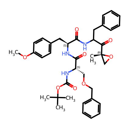 COc1ccc(C[C@H](NC(=O)[C@H](COCc2ccccc2)NC(=O)OC(C)(C)C)C(=O)NC(Cc2ccccc2)C(=O)[C@@]2(C)CO2)cc1